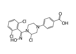 O=C(O)c1ccc(N2CCN(C(=NO)c3c(Cl)cccc3Cl)C(Cl)C2)cc1